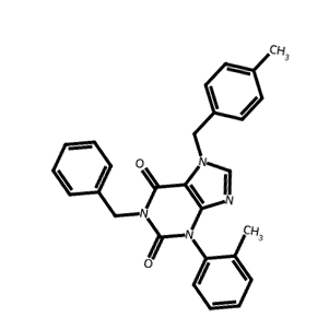 Cc1ccc(Cn2cnc3c2c(=O)n(Cc2ccccc2)c(=O)n3-c2ccccc2C)cc1